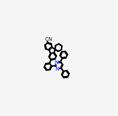 N#Cc1ccc2c(c1)C1(CCCCC1)c1ccc(-c3ccccc3-c3nc(-c4ccccc4)cc(-c4ccccc4)n3)cc1-2